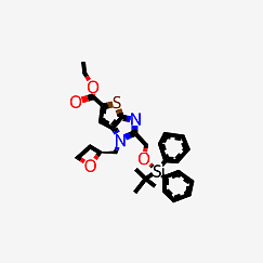 CCOC(=O)c1cc2c(nc(CO[Si](c3ccccc3)(c3ccccc3)C(C)(C)C)n2C[C@@H]2CCO2)s1